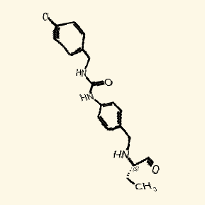 CC[C@@H](C=O)NCc1ccc(NC(=O)NCc2ccc(Cl)cc2)cc1